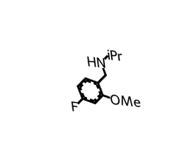 COc1cc(F)ccc1CNC(C)C